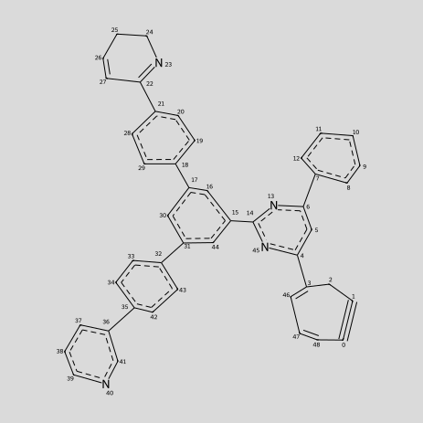 C1#CCC(c2cc(-c3ccccc3)nc(-c3cc(-c4ccc(C5=NCCC=C5)cc4)cc(-c4ccc(-c5cccnc5)cc4)c3)n2)=CC=C1